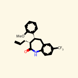 C=CC[C@H]1C(=O)Nc2ccc(C(F)(F)F)cc2C[C@H]1c1ccccc1OC